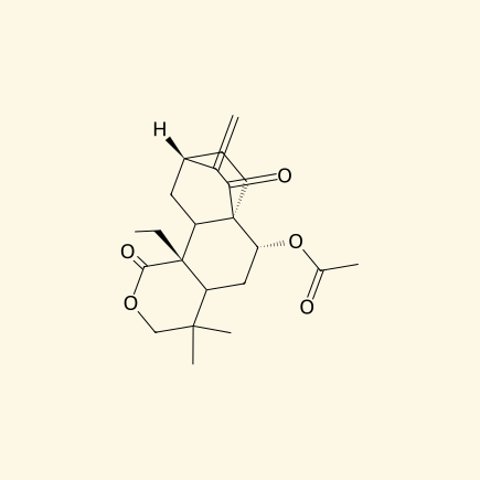 C=C1C(=O)[C@]23CC[C@H]1CC2[C@@]1(CC)C(=O)OCC(C)(C)C1C[C@H]3OC(C)=O